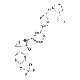 O=C(Nc1cccc(-c2ccc(SN3CCC[C@@H]3CO)cc2)n1)C1(c2ccc3c(c2)OC(F)(F)O3)CC1